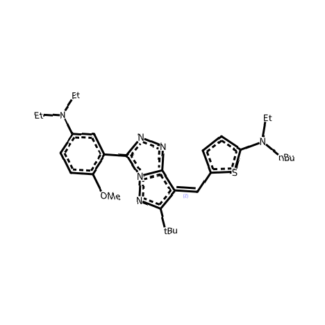 CCCCN(CC)c1ccc(/C=c2/c(C(C)(C)C)nn3c(-c4cc(N(CC)CC)ccc4OC)nnc23)s1